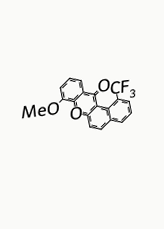 COc1cccc2c(=O)c3c(ccc4cccc(C(F)(F)F)c43)oc12